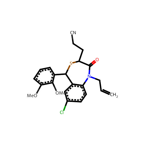 C=CCN1C(=O)C(CCC#N)SC(c2cccc(OC)c2OC)c2cc(Cl)ccc21